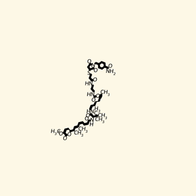 CC#CC[C@@H](C/C=C\NC(=O)[C@@H](NC(=O)\C=C/C=C\C(C)=C\[C@H](C)[C@@H]1CC=C(OC)C(=O)O1)C(C)(C)C)OC(=O)NCCCNC(=O)CCSC1CC(=O)N(CC2CCC(C(N)=O)CC2)C1=O